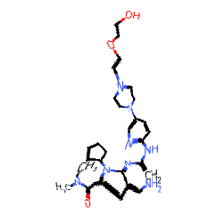 C=C(/N=C1\C(=C/N)C=C(C(=O)N(C)C)N1C1CCCC1)Nc1ccc(N2CCN(CCOCCO)CC2)cn1